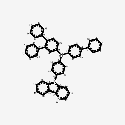 c1ccc(-c2ccc(N(c3ccc(-n4c5ccccc5c5ncccc54)cc3)c3ccc(-c4ccccc4)c(-c4ccccc4)c3)cc2)cc1